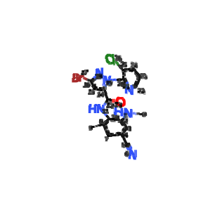 CNc1cc(C#N)cc(C)c1NC(=O)c1cc(Br)nn1-c1ncccc1Cl